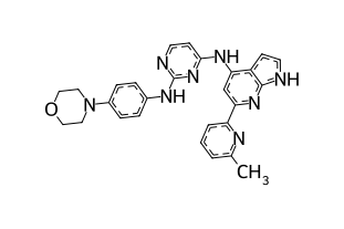 Cc1cccc(-c2cc(Nc3ccnc(Nc4ccc(N5CCOCC5)cc4)n3)c3cc[nH]c3n2)n1